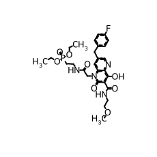 CCOP(=O)(CCNC(=O)Cn1c(=O)c(C(=O)NCCOC)c(O)c2ncc(Cc3ccc(F)cc3)cc21)OCC